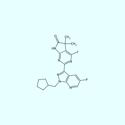 CC1(C)C(=O)Nc2nc(-c3nn(CC4CCCC4)c4ncc(F)cc34)nc(I)c21